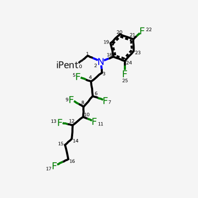 CCCC(C)CN(CC(F)C(F)C(F)C(F)C(F)CCCF)c1ccc(F)cc1F